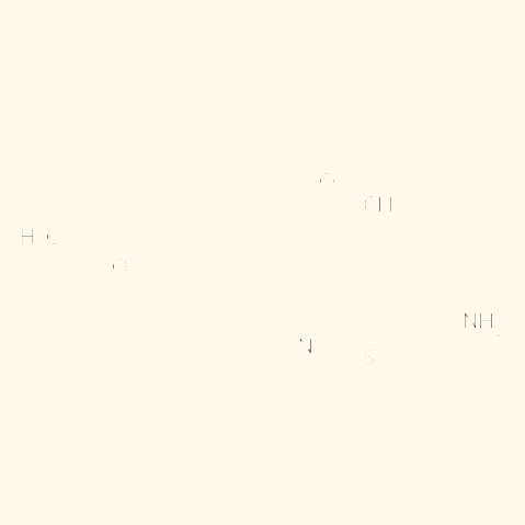 COc1ccc(OC)c(-c2cc(N)sn2)c1